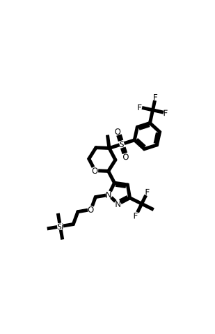 CC(F)(F)c1cc(C2CC(C)(S(=O)(=O)c3cccc(C(F)(F)F)c3)CCO2)n(COCC[Si](C)(C)C)n1